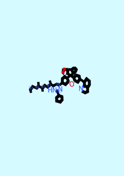 C\C=C/C=C(C)/C(C)=C/C=C(\C)C(=N)/C=C(\N=C\c1ccccc1)c1ccc2c(c1)Oc1cc(-c3cccc4cccnc34)ccc1C21c2ccccc2-c2ccccc21